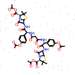 CC(=O)OC(=O)[C@@H]1N2C(=O)C(NC(=O)[C@@H](NC(=O)CC(=O)N[C@@H](C(=O)NC3C(=O)N4C3SC(C)(C)[C@H]4C(=O)OC(C)=O)c3ccc(OC(C)=O)cc3)c3ccc(OC(C)=O)cc3)C2SC1(C)C